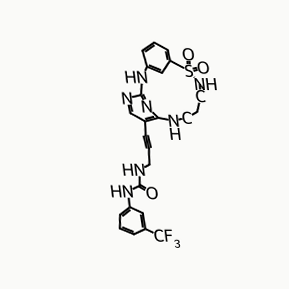 O=C(NCC#Cc1cnc2nc1NCCCNS(=O)(=O)c1cccc(c1)N2)Nc1cccc(C(F)(F)F)c1